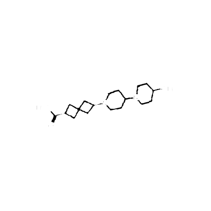 CC(=O)[C@H]1CC2(C1)C[C@H](N1CCC(N3CCC(C)CC3)CC1)C2